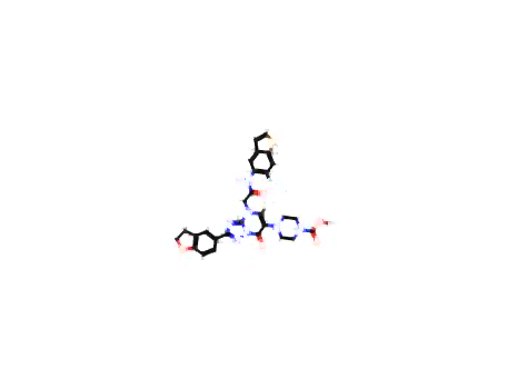 CCc1c(N2CCN(C(=O)OC(C)(C)C)CC2)c(=O)n2nc(-c3ccc4c(c3)CCO4)nc2n1CC(=O)Nc1cc2ccsc2cc1C